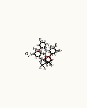 Cc1cc(I)ccc1N(c1cc(F)c([N+](=O)[O-])cc1C1=NC(C)(C)CO1)N(c1ccc(I)cc1C)c1c(C2=NC(C)(C)CO2)cc(Br)c(F)c1F